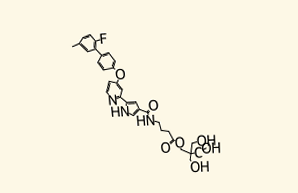 Cc1ccc(F)c(-c2ccc(Oc3ccnc(-c4cc(C(=O)NCCCC(=O)OCC(CO)(CO)CO)c[nH]4)c3)cc2)c1